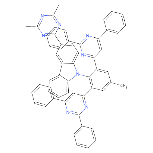 Cc1nc(C)nc(-c2ccc3c(c2)c2ccccc2n3-c2c(-c3cc(-c4ccccc4)nc(-c4ccccc4)n3)cc(C(F)(F)F)cc2-c2cc(-c3ccccc3)nc(-c3ccccc3)n2)n1